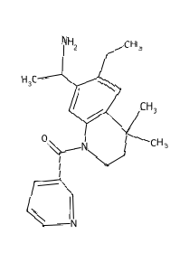 CCc1cc2c(cc1C(C)N)N(C(=O)c1cccnc1)CCC2(C)C